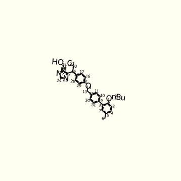 CCCCOc1ccc(C)cc1-c1ccc(COc2ccc(C(CC(=O)O)c3ncnn3C)cc2)cc1